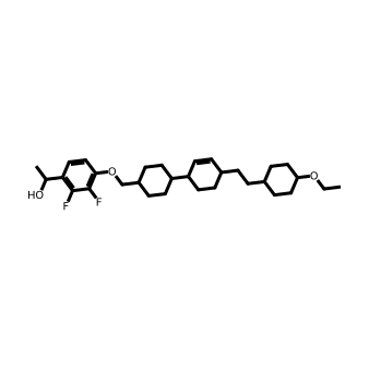 CCOC1CCC(CCC2C=CC(C3CCC(COc4ccc(C(C)O)c(F)c4F)CC3)CC2)CC1